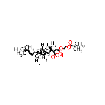 C=C(C)C(=O)OCCOC(=O)CC(C(=O)O)C(C=CCC(C)(C)C(C)(C)C/C=C\CC(C)(C)C)C(C)(C)C